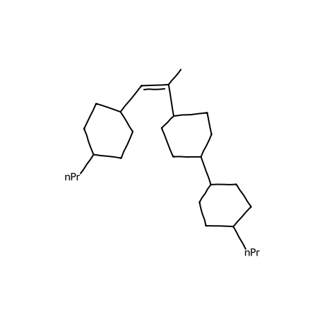 CCCC1CCC(C=C(C)C2CCC(C3CCC(CCC)CC3)CC2)CC1